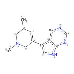 CC1C=C(c2c[nH]c3ncncc23)CN(C)C1